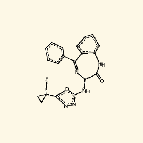 O=C1Nc2ccccc2C(c2ccccc2)=NC1Nc1nnc(C2(F)CC2)o1